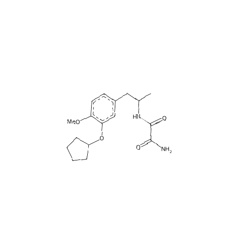 COc1ccc(CC(C)NC(=O)C(N)=O)cc1OC1CCCC1